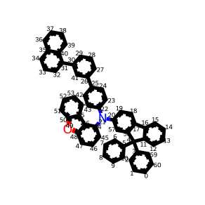 c1ccc(C2(c3ccccc3)c3ccccc3-c3ccc(N(c4ccc(-c5cccc(-c6cccc7ccccc67)c5)cc4)c4cccc5oc6ccccc6c45)cc32)cc1